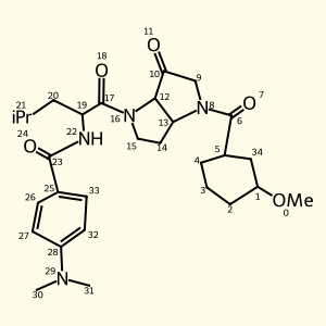 COC1CCCC(C(=O)N2CC(=O)C3C2CCN3C(=O)C(CC(C)C)NC(=O)c2ccc(N(C)C)cc2)C1